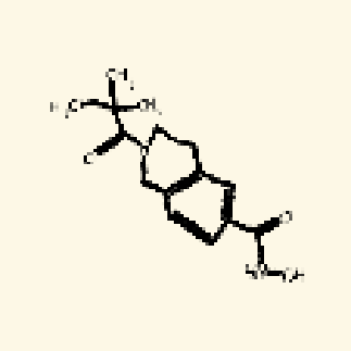 CC(C)(C)C(=O)N1CCc2cc(C(=O)NO)ccc2C1